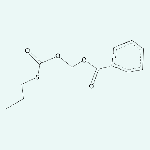 CCCSC(=O)OCOC(=O)c1ccccc1